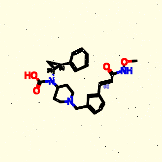 CONC(=O)/C=C/c1cccc(CN2CCC(N(C(=O)O)[C@@H]3C[C@H]3c3ccccc3)CC2)c1